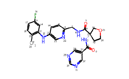 O=C(N[C@@]1(C(=O)NCc2ccc(Nc3cc(F)ccc3C(F)(F)F)cn2)CCOC1)c1cncnc1